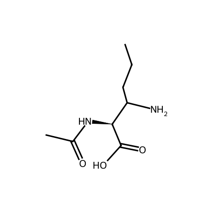 CCCC(N)[C@H](NC(C)=O)C(=O)O